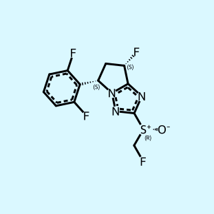 [O-][S@+](CF)c1nc2n(n1)[C@H](c1c(F)cccc1F)C[C@@H]2F